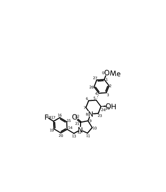 COc1ccc([C@H]2CCN(C3CCN(Cc4ccc(F)cc4)C3=O)C[C@@H]2O)cc1